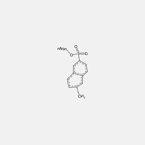 CCCCCCCCCOS(=O)(=O)c1ccc2cc(C)ccc2c1